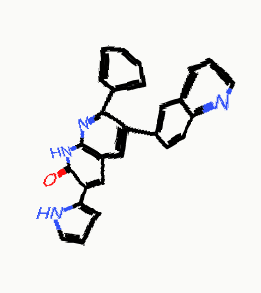 O=c1[nH]c2nc(-c3ccccc3)c(-c3ccc4ncccc4c3)cc2cc1-c1ccc[nH]1